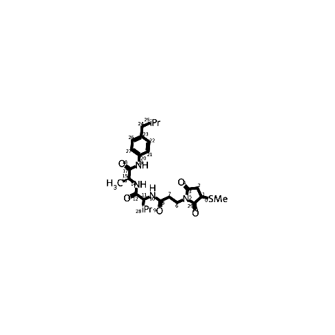 CSC1CC(=O)N(CCC(=O)NC(C(=O)N[C@@H](C)C(=O)Nc2ccc(CC(C)C)cc2)C(C)C)C1=O